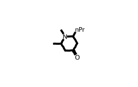 CCCC1CC(=O)CC(C)N1C